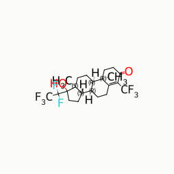 C[C@]12CCC(=O)C(C(F)(F)F)=C1CC[C@@H]1[C@H]2CC[C@@]2(C)[C@H]1CCC2(O)C(F)(F)C(F)(F)F